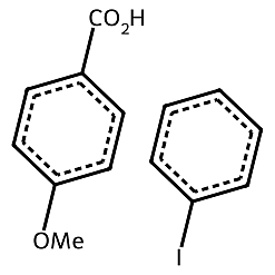 COc1ccc(C(=O)O)cc1.Ic1ccccc1